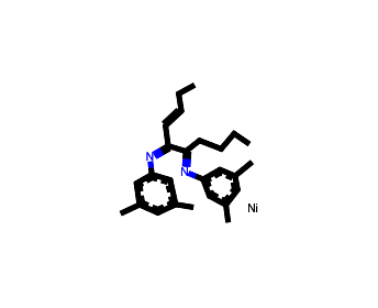 CCC=CC(=Nc1cc(C)cc(C)c1)C(CCCC)=Nc1cc(C)cc(C)c1.[Ni]